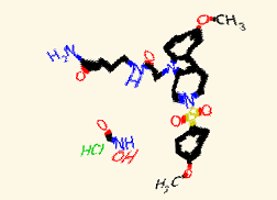 COc1ccc(S(=O)(=O)N2CCc3c(n(CC(=O)NCCCC(N)=O)c4ccc(OC)cc34)C2)cc1.Cl.O=CNO